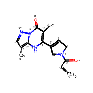 C=CC(=O)N1CC=C(c2[nH]c3c(C#N)cnn3c(=O)c2C(C)C)C1